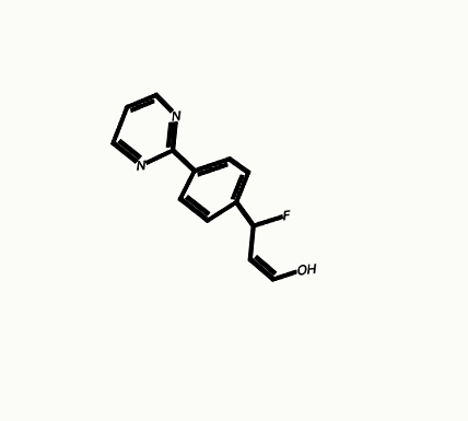 O/C=C\C(F)c1ccc(-c2ncccn2)cc1